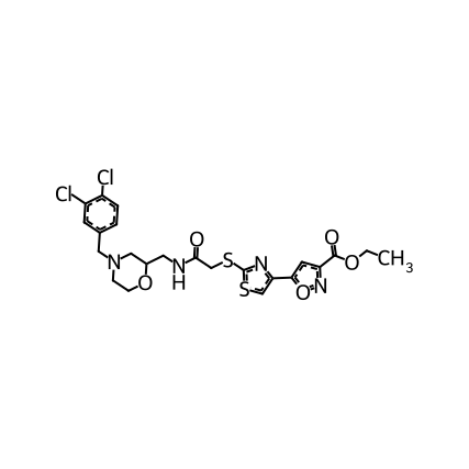 CCOC(=O)c1cc(-c2csc(SCC(=O)NCC3CN(Cc4ccc(Cl)c(Cl)c4)CCO3)n2)on1